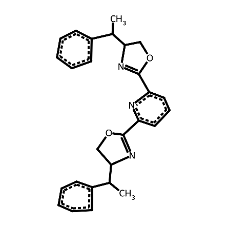 CC(c1ccccc1)C1COC(c2cccc(C3=NC(C(C)c4ccccc4)CO3)n2)=N1